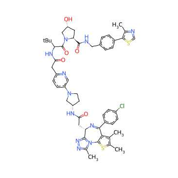 Cc1ncsc1-c1ccc(CNC(=O)[C@@H]2C[C@@H](O)CN2C(=O)C(NC(=O)Cc2ccc(N3CC[C@H](NC(=O)C[C@@H]4N=C(c5ccc(Cl)cc5)c5c(sc(C)c5C)-n5c(C)nnc54)C3)cn2)C(C)(C)C)cc1